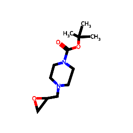 CC(C)(C)OC(=O)N1CCN(CC2CO2)CC1